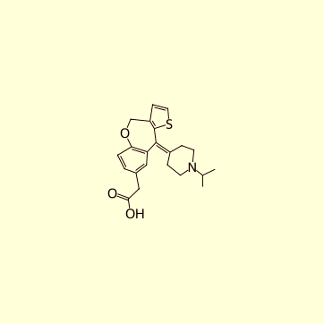 CC(C)N1CCC(=C2c3cc(CC(=O)O)ccc3OCc3ccsc32)CC1